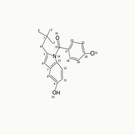 CC(C)(C)Cc1cc2cc(O)ccc2n1C(=O)c1ccc(Cl)cc1